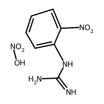 N=C(N)Nc1ccccc1[N+](=O)[O-].O=[N+]([O-])O